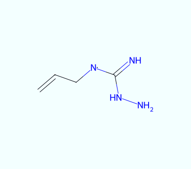 C=CC[N]C(=N)NN